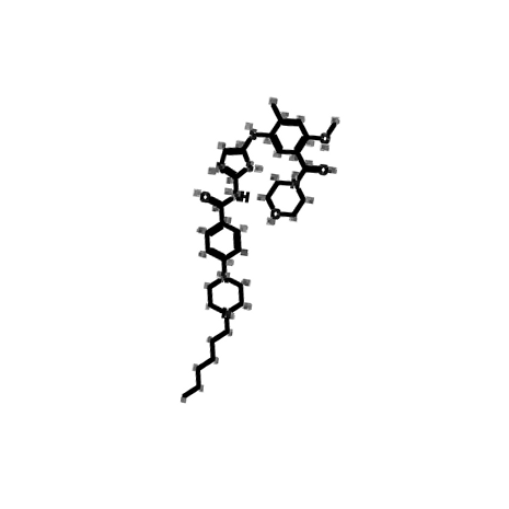 CCCCCCN1CCN(c2ccc(C(=O)Nc3ncc(Sc4cc(C(=O)N5CCOCC5)c(OC)cc4C)s3)cc2)CC1